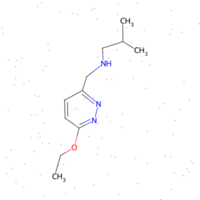 CCOc1ccc(CNCC(C)C)nn1